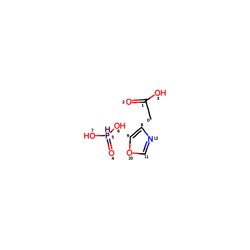 CC(=O)O.O=[PH](O)O.c1cocn1